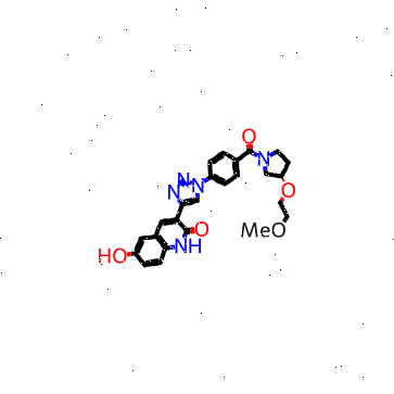 COCCO[C@H]1CCN(C(=O)c2ccc(-n3cc(-c4cc5cc(O)ccc5[nH]c4=O)nn3)cc2)C1